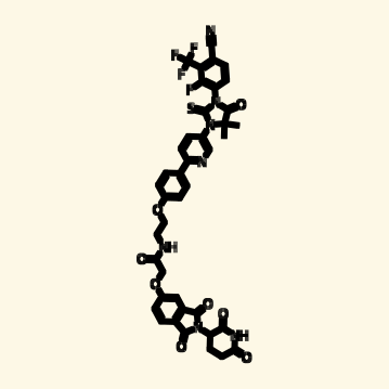 CC1(C)C(=O)N(c2ccc(C#N)c(C(F)(F)F)c2F)C(=S)N1c1ccc(-c2ccc(OCCNC(=O)COc3ccc4c(c3)C(=O)N(C3CCC(=O)NC3=O)C4=O)cc2)nc1